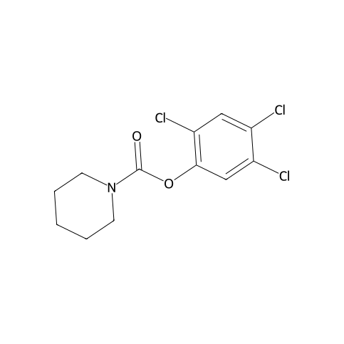 O=C(Oc1cc(Cl)c(Cl)cc1Cl)N1CCCCC1